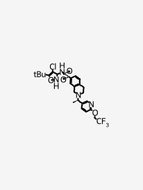 C[C@H](c1ccc(OCC(F)(F)F)nc1)N1CCc2ccc(S(=O)(=O)NC3NOC(C(C)(C)C)=C3Cl)cc2C1